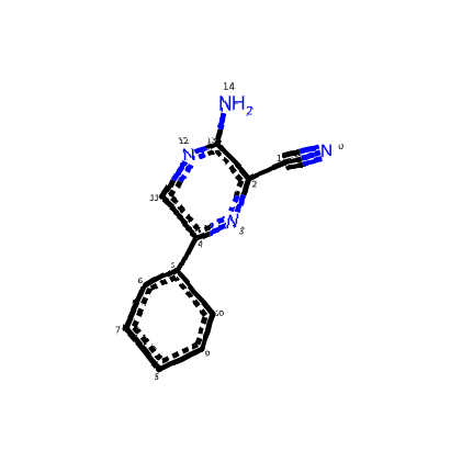 N#Cc1nc(-c2ccccc2)cnc1N